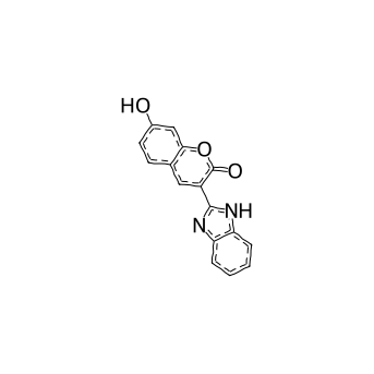 O=c1oc2cc(O)ccc2cc1-c1nc2ccccc2[nH]1